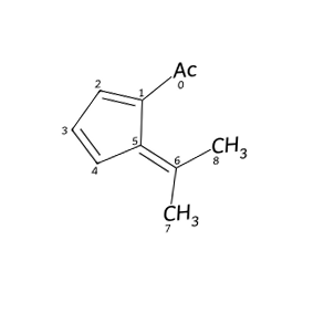 CC(=O)C1=CC=CC1=C(C)C